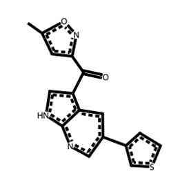 Cc1cc(C(=O)c2c[nH]c3ncc(-c4ccsc4)cc23)no1